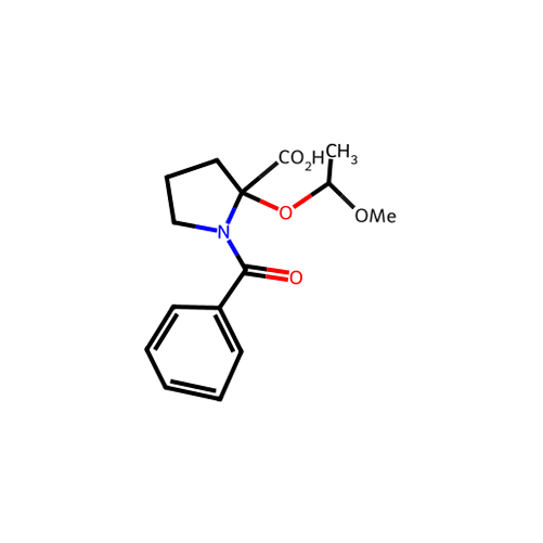 COC(C)OC1(C(=O)O)CCCN1C(=O)c1ccccc1